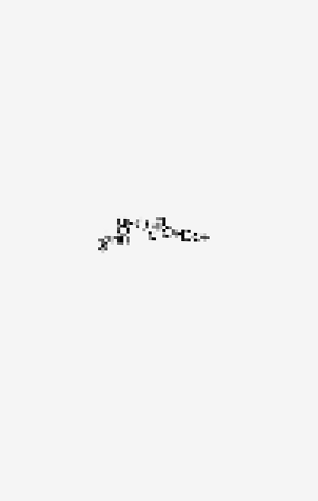 Cn1cccc1C(=O)Nc1ccc(Nc2ccc(NC(=O)c3ccc(N4CCC(O)CC4)cc3Cl)cc2)cc1